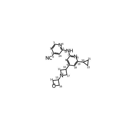 N#Cc1ccnc(Nc2cc(C3CN(C4COC4)C3)cc(C3CC3)n2)c1